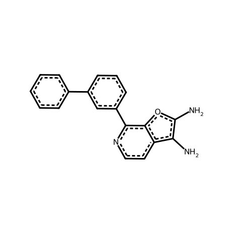 Nc1oc2c(-c3cccc(-c4ccccc4)c3)nccc2c1N